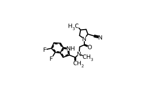 C=C(c1cc2c(F)c(F)ccc2[nH]1)N(C)CC(=O)N1CC(C)CC1C#N